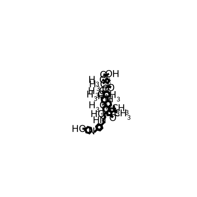 CC(C)C1=C2[C@H]3CC[C@@H]4[C@@]5(C)CC[C@H](OC(=O)[C@H]6C[C@@H](C(=O)O)C6(C)C)C(C)(C)[C@@H]5CC[C@@]4(C)[C@]3(C)CC[C@@]2([C@@H](O)CNCc2ccc(CN3CCC(O)CC3)cc2)CC1=O